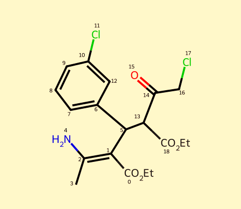 CCOC(=O)C(=C(C)N)C(c1cccc(Cl)c1)C(C(=O)CCl)C(=O)OCC